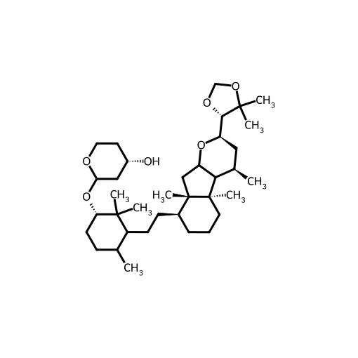 CC1CC[C@H](OC2C[C@@H](O)CCO2)C(C)(C)C1CC[C@@H]1CCC[C@]2(C)C3C(C[C@@]12C)O[C@@H]([C@@H]1OCOC1(C)C)C[C@H]3C